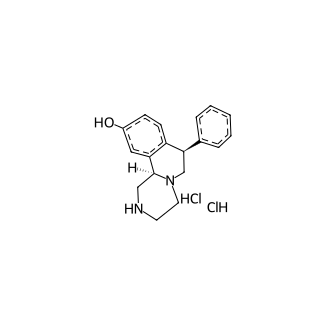 Cl.Cl.Oc1ccc2c(c1)[C@@H]1CNCCN1C[C@@H]2c1ccccc1